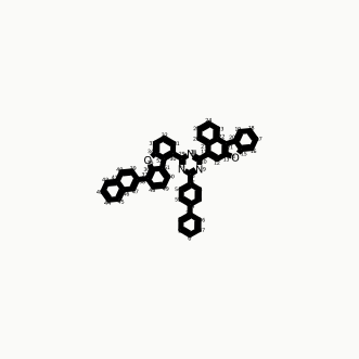 c1ccc(-c2ccc(-c3nc(-c4cc5oc6ccccc6c5c5ccccc45)nc(-c4cccc5oc6c(-c7ccc8ccccc8c7)cccc6c45)n3)cc2)cc1